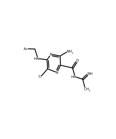 CC(=N)NC(=O)c1nc(Cl)c(NCC(C)=O)nc1N